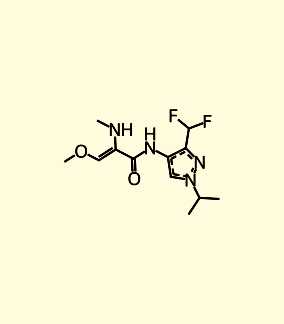 CN/C(=C\OC)C(=O)Nc1cn(C(C)C)nc1C(F)F